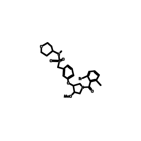 COC1CN(C(=O)c2c(C)cccc2Br)CC1Oc1cccc(CS(=O)(=O)N(C)C2CCOCC2)c1